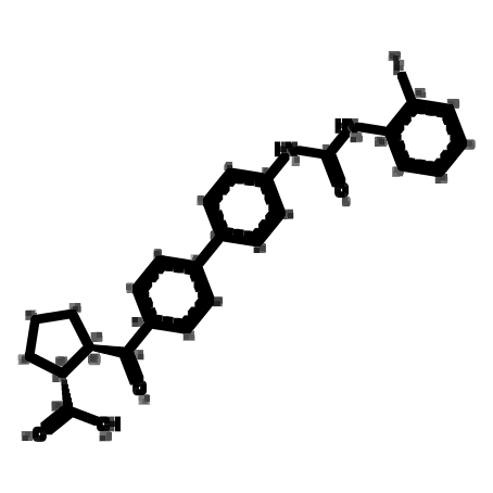 O=C(Nc1ccc(-c2ccc(C(=O)[C@@H]3CCC[C@H]3C(=O)O)cc2)cc1)Nc1ccccc1F